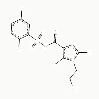 O=C(NS(=O)(=O)c1cc(Cl)ccc1Cl)c1nc(Cl)n(CCC(F)(F)F)c1Cl